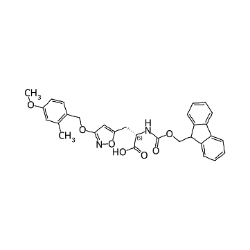 COc1ccc(COc2cc(C[C@H](NC(=O)OCC3c4ccccc4-c4ccccc43)C(=O)O)on2)c(C)c1